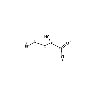 Cl.O=C(Cl)CCCBr